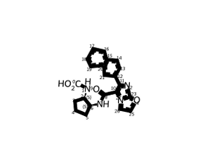 O=C(O)N[C@H]1CCC[C@@H]1NC(=O)c1c(-c2ccc3ccccc3c2)nc2occn12